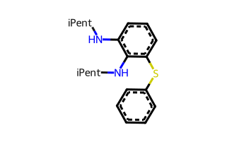 CCCC(C)Nc1cccc(Sc2ccccc2)c1NC(C)CCC